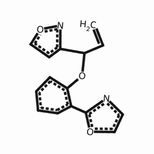 C=CC(Oc1ccccc1-c1ncco1)c1ccon1